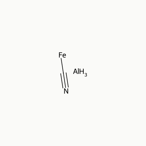 N#[C][Fe].[AlH3]